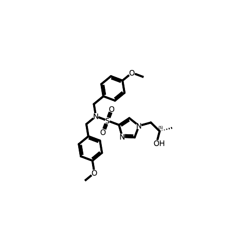 COc1ccc(CN(Cc2ccc(OC)cc2)S(=O)(=O)c2cn(C[C@H](C)O)cn2)cc1